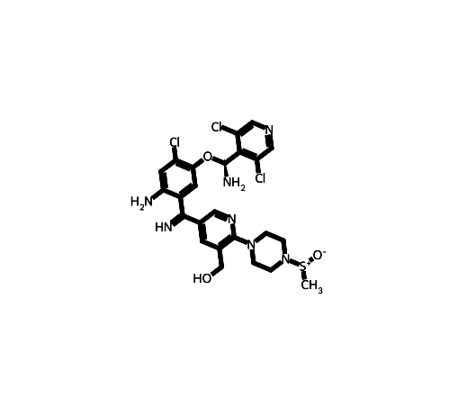 C[S+]([O-])N1CCN(c2ncc(C(=N)c3cc(O[C@H](N)c4c(Cl)cncc4Cl)c(Cl)cc3N)cc2CO)CC1